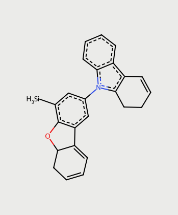 [SiH3]c1cc(-n2c3c(c4ccccc42)C=CCC3)cc2c1OC1CC=CC=C21